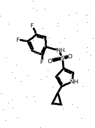 O=S(=O)(Nc1cc(F)c(F)cc1F)c1c[nH]c(C2CC2)c1